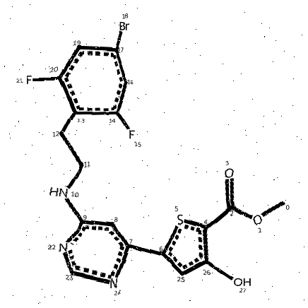 COC(=O)c1sc(-c2cc(NCCc3c(F)cc(Br)cc3F)ncn2)cc1O